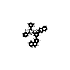 C1=CC2=Cc3c(oc4c(C5=NC(c6ccccc6)NC(c6ccccc6)=N5)cc(-c5ccc6ccc7ccccc7c6c5)cc34)CC2C=C1